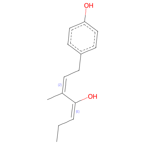 CC/C=C(O)\C(C)=C/Cc1ccc(O)cc1